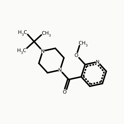 COc1ncccc1C(=O)N1CCN(C(C)(C)C)CC1